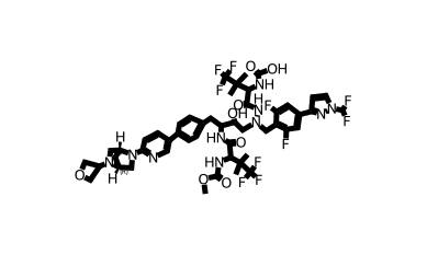 COC(=O)NC(C(=O)NC(Cc1ccc(-c2ccc(N3C[C@H]4C[C@@H]3CN4C3COC3)nc2)cc1)C(O)CN(Cc1c(F)cc(-c2ccn(C(F)F)n2)cc1F)NC(=O)C(NC(=O)O)C(C)(C)C(F)(F)F)C(C)(C)C(F)(F)F